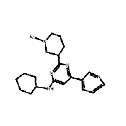 CC(=O)N1CCCC(c2nc(NC3CCCCC3)cc(-c3cccnc3)n2)C1